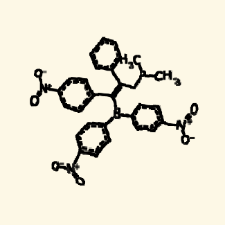 CP(C)C/C(=C(\B(c1ccc([N+](=O)[O-])cc1)c1ccc([N+](=O)[O-])cc1)c1ccc([N+](=O)[O-])cc1)c1ccccc1